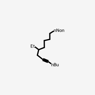 [CH2]CCCC#CCC(CC)CCCCCCCCCCCC[CH2]